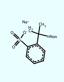 CCCCCCCCCC(C)(C)c1ccccc1S(=O)(=O)[O-].[Na+]